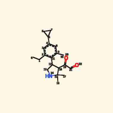 CCc1cc(C2CC2)cc(C)c1C1CNC(C)(C)C1C(=O)C=O